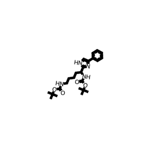 CC(C)(C)OC(=O)NCCCCC(NC(=O)OC(C)(C)C)c1nc(-c2ccccc2)c[nH]1